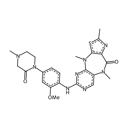 COc1cc(N2CCN(C)CC2=O)ccc1Nc1ncc2c(n1)N(C)c1sc(C)nc1C(=O)N2C